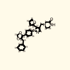 O=C1CN(Cc2cnn(-c3ccc(C4=C(Cc5ccccc5)OCO4)cc3)c2-c2ccco2)CCN1